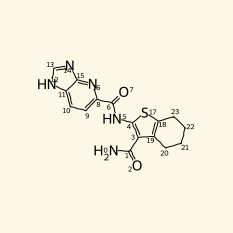 NC(=O)c1c(NC(=O)c2ccc3[nH]cnc3n2)sc2c1CCCC2